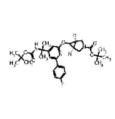 CC(C)(C)OC(=O)NC(C)(C)c1cc(OC2[C@H]3CN(C(=O)OC(C)(C)C)C[C@@H]23)nc(-c2ccc(F)cc2)c1